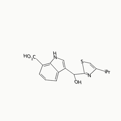 CC(C)c1csc(C(O)c2c[nH]c3c(C(=O)O)cccc23)n1